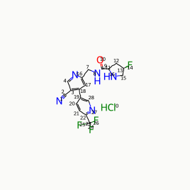 Cl.N#Cc1cnc(CNC(=O)[C@H]2C[C@@H](F)CN2)cc1-c1ccc(C(F)(F)F)nc1